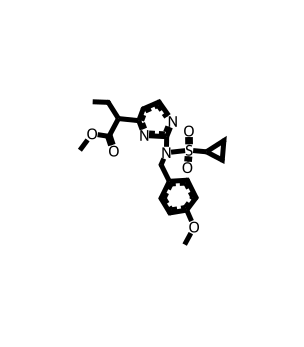 CCC(C(=O)OC)c1ccnc(N(Cc2ccc(OC)cc2)S(=O)(=O)C2CC2)n1